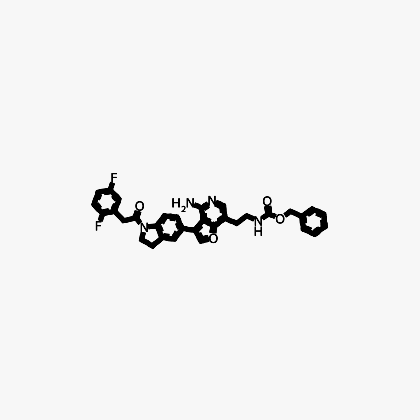 Nc1ncc(CCNC(=O)OCc2ccccc2)c2occ(-c3ccc4c(c3)CCN4C(=O)Cc3cc(F)ccc3F)c12